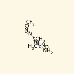 C/C(=N\N=C(/C)c1ccc(C(N)=O)nc1)SCCCN1CC2CCN(c3ccc(C(F)(F)F)cc3)C2C1